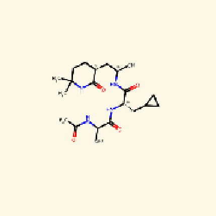 CC1(C)CC[C@@H](C[C@@H](C#N)NC(=O)[C@H](CC2CC2)NC(=O)C(NC(=O)C(F)(F)F)C(C)(C)C)C(=O)N1